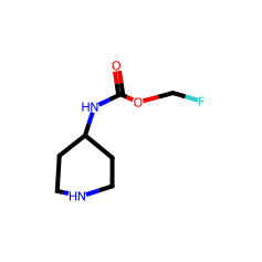 O=C(NC1CCNCC1)OCF